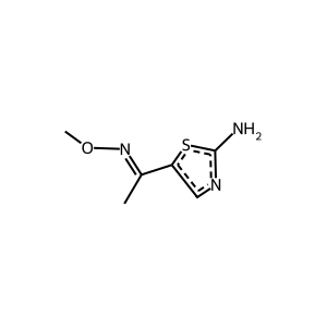 CO/N=C(\C)c1cnc(N)s1